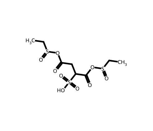 CCS(=O)OC(=O)CC(C(=O)OS(=O)CC)S(=O)(=O)O